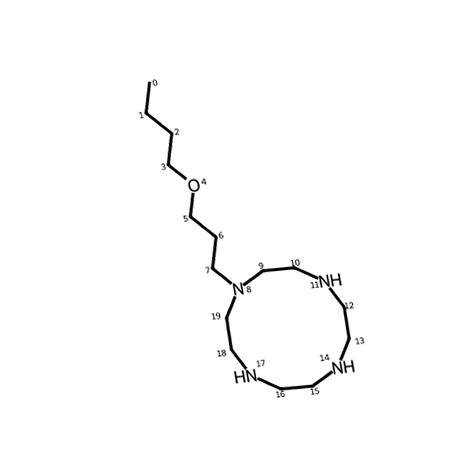 CCCCOCCCN1CCNCCNCCNCC1